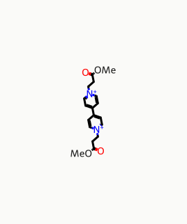 COC(=O)CC[n+]1ccc(-c2cc[n+](CCC(=O)OC)cc2)cc1